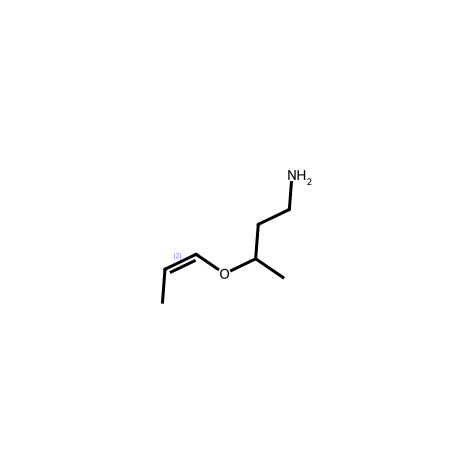 C/C=C\OC(C)CCN